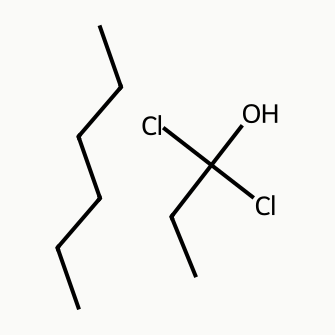 CCC(O)(Cl)Cl.CCCCCC